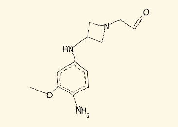 COc1cc(NC2CN(CC=O)C2)ccc1N